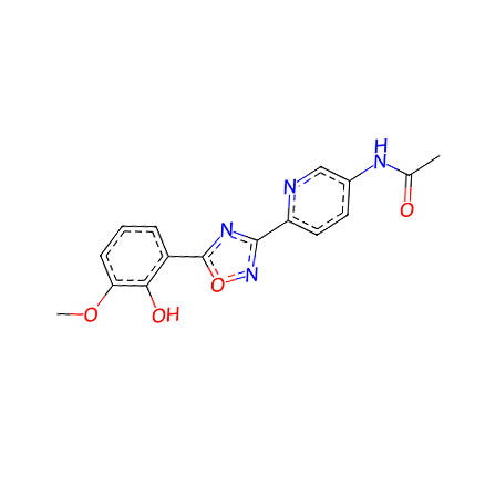 COc1cccc(-c2nc(-c3ccc(NC(C)=O)cn3)no2)c1O